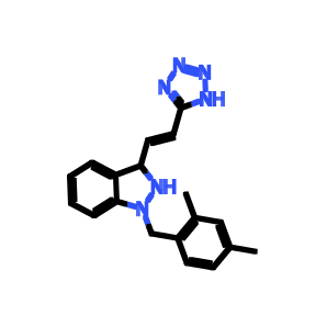 Cc1ccc(CN2NC(/C=C/c3nnn[nH]3)c3ccccc32)c(C)c1